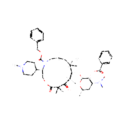 CO[C@]1(C)C[C@@H](C)CN(C(=O)OCc2ccccc2)[C@H](C2CCN(C(C)C)CC2)COC(=O)C(C)(C)C(=O)[C@H](C)[C@H]1O[C@@H]1O[C@H](C)C[C@H](N(C)C)[C@H]1OC(=O)c1ccccc1